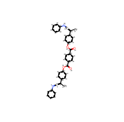 CC(C)C(=C=Nc1ccccc1)c1ccc(OC(=O)c2ccc(C(=O)Oc3ccc(C(=C=Nc4ccccc4)C(C)C)cc3)cc2)cc1